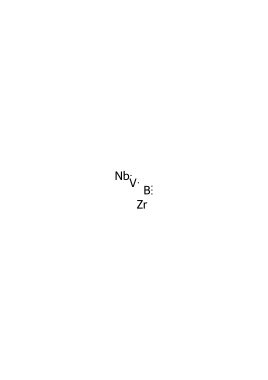 [B].[Nb].[V].[Zr]